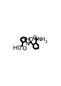 NC(=O)c1ccccc1C(=O)Nc1ccccc1C(=O)O